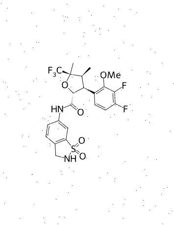 COc1c([C@H]2[C@H](C(=O)Nc3ccc4c(c3)S(=O)(=O)NC4)O[C@@](C)(C(F)(F)F)[C@H]2C)ccc(F)c1F